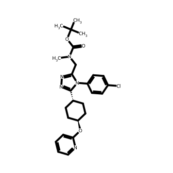 CN(Cc1nnc([C@H]2CC[C@H](Oc3ccccn3)CC2)n1-c1ccc(Cl)cc1)C(=O)OC(C)(C)C